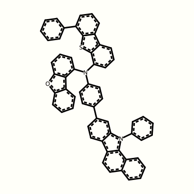 c1ccc(-c2cccc3c2sc2c(N(c4ccc(-c5ccc6c7ccc8ccccc8c7n(-c7ccccc7)c6c5)cc4)c4cccc5oc6ccccc6c45)cccc23)cc1